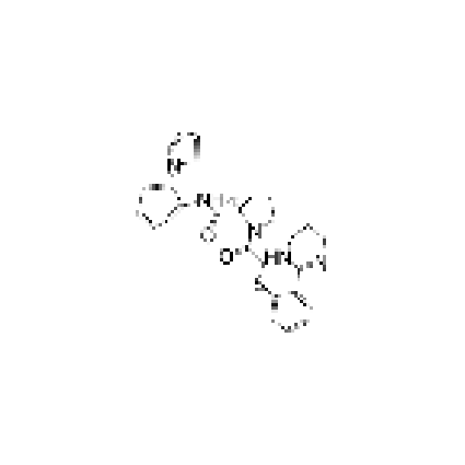 O=C(Nc1ccccc1-n1cccc1)[C@@H]1CCCN1C(=O)CSc1ccccc1C1=NCCCN1